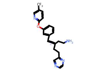 NCC/C(=C\c1cccc(Oc2ccc(C(F)(F)F)cn2)c1)CCc1cnccn1